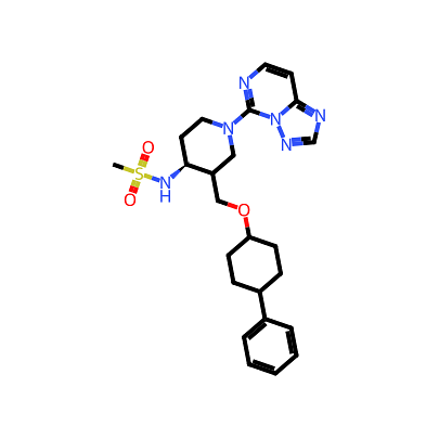 CS(=O)(=O)N[C@H]1CCN(c2nccc3ncnn23)CC1COC1CCC(c2ccccc2)CC1